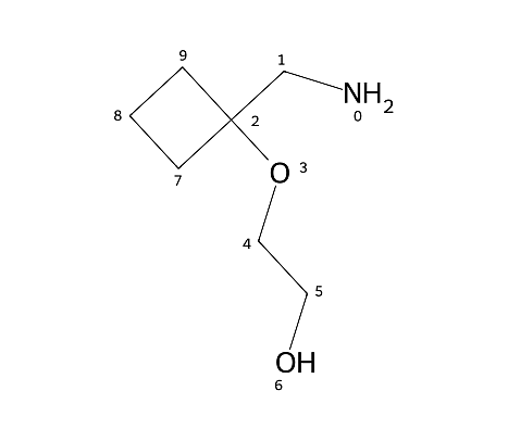 NCC1(OCCO)CCC1